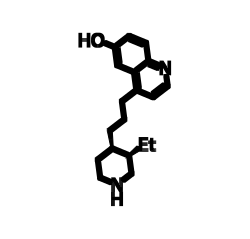 CC[C@H]1CNCC[C@H]1CCCc1ccnc2ccc(O)cc12